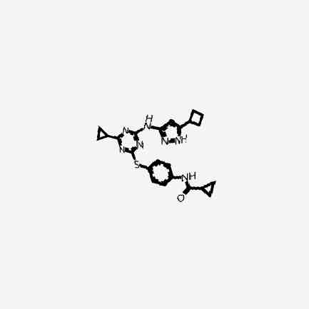 O=C(Nc1ccc(Sc2nc(Nc3cc(C4CCC4)[nH]n3)nc(C3CC3)n2)cc1)C1CC1